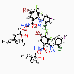 CC(C)C(O)CONC(=O)c1cc(Br)c(F)c(F)c1Nc1ccc(I)cc1Cl.CC(C)CC(O)CONC(=O)c1cc(Br)c(F)c(F)c1Nc1ccc(I)cc1Cl